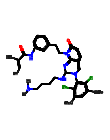 CCN(CC)CCCCNC1N=c2c(ccc(=O)n2CCc2cccc(NC(=O)C(C#N)=CC(C)C)c2)=CN1c1c(Cl)c(OC)cc(OC)c1Cl